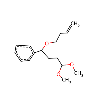 C=CCCOC(CCC(OC)OC)c1ccccc1